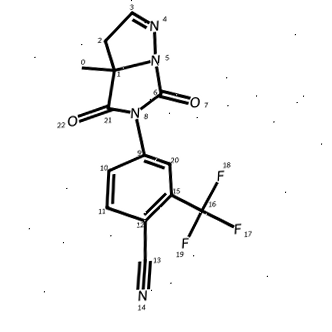 CC12CC=NN1C(=O)N(c1ccc(C#N)c(C(F)(F)F)c1)C2=O